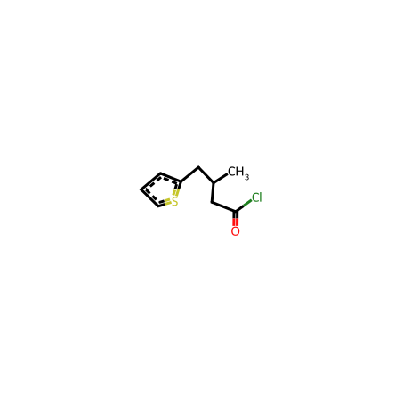 CC(CC(=O)Cl)Cc1cccs1